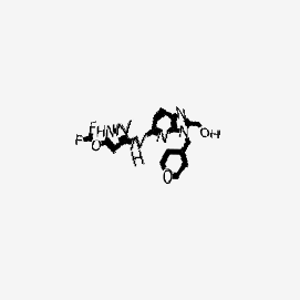 OCc1nc2ccc(Nc3cc(OC(F)F)[nH]n3)nc2n1CC1CCOCC1